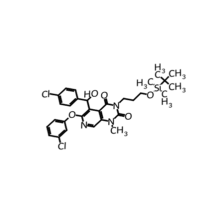 Cn1c(=O)n(CCCO[Si](C)(C)C(C)(C)C)c(=O)c2c(C(O)c3ccc(Cl)cc3)c(Oc3cccc(Cl)c3)ncc21